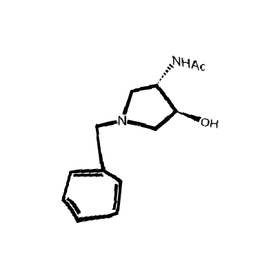 CC(=O)N[C@H]1CN(Cc2ccccc2)C[C@@H]1O